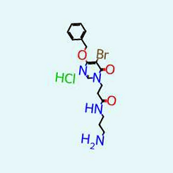 Cl.NCCCNC(=O)CCn1cnc(OCc2ccccc2)c(Br)c1=O